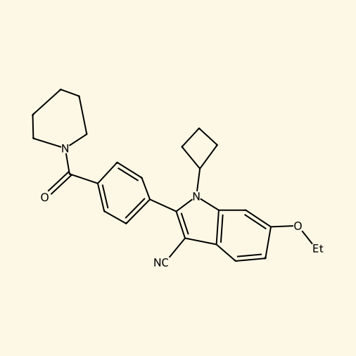 CCOc1ccc2c(C#N)c(-c3ccc(C(=O)N4CCCCC4)cc3)n(C3CCC3)c2c1